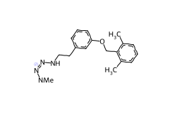 CN/N=N\NCCc1cccc(OCc2c(C)cccc2C)c1